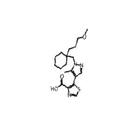 COCCCC1(Cn2ncc(-c3scnc3C(=O)O)c2C)CCCCC1